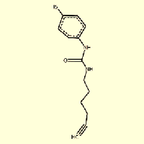 C#CCCCCNC(=O)Nc1ccc(S)cc1